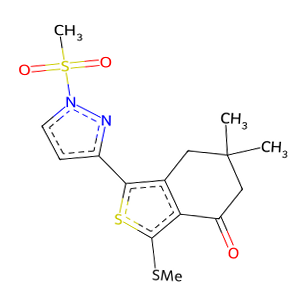 CSc1sc(-c2ccn(S(C)(=O)=O)n2)c2c1C(=O)CC(C)(C)C2